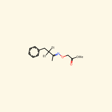 CCC(CC)(Cc1ccccc1)/C(C)=N/OCC(=O)OC